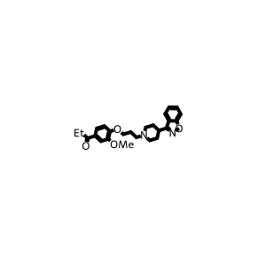 CCC(=O)c1ccc(OCCCN2CCC(c3noc4ccccc34)CC2)c(OC)c1